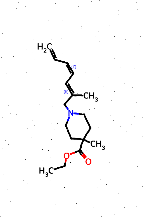 C=C/C=C\C=C(/C)CN1CCC(C)(C(=O)OCC)CC1